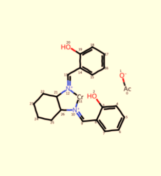 CC(=O)[O-].Oc1ccccc1C=[N+]1[Cr][N+](=Cc2ccccc2O)C2CCCCC21